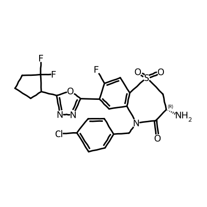 N[C@H]1CS(=O)(=O)c2cc(F)c(-c3nnc(C4CCCC4(F)F)o3)cc2N(Cc2ccc(Cl)cc2)C1=O